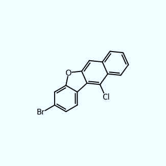 Clc1c2ccccc2cc2oc3cc(Br)ccc3c12